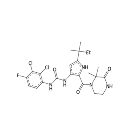 CCC(C)(C)c1cc(NC(=O)Nc2ccc(F)c(Cl)c2Cl)c(C(=O)N2CCNC(=O)C2(C)C)[nH]1